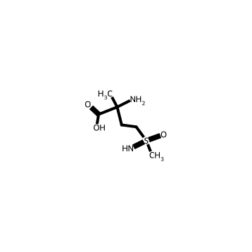 CC(N)(CCS(C)(=N)=O)C(=O)O